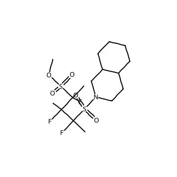 COS(=O)(=O)C(C)(F)C(C)(F)C(C)(F)S(=O)(=O)N1CCC2CCCCC2C1